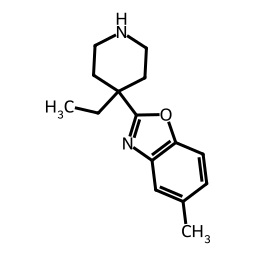 CCC1(c2nc3cc(C)ccc3o2)CCNCC1